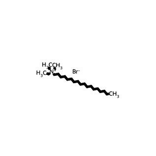 CCCCCCCCCCCCCCCCCC[N+](CC)(CC)CC.[Br-]